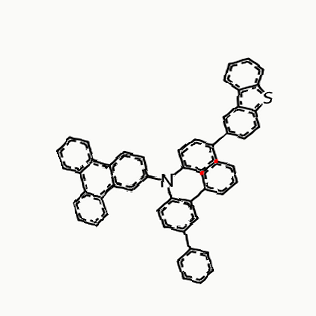 c1ccc(-c2ccc(N(c3ccc(-c4ccc5sc6ccccc6c5c4)cc3)c3ccc4c5ccccc5c5ccccc5c4c3)c(-c3ccccc3)c2)cc1